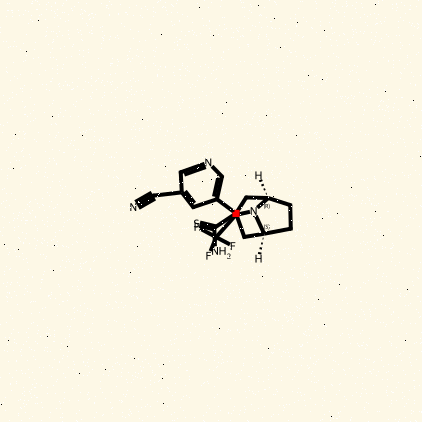 N#Cc1cncc(C2(C(N)=S)C[C@H]3CC[C@@H](C2)N3CC(F)(F)F)c1